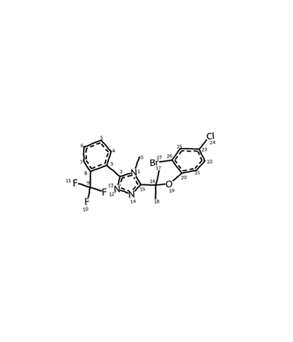 Cn1c(-c2ccccc2C(F)(F)F)nnc1C(C)(C)Oc1ccc(Cl)cc1Br